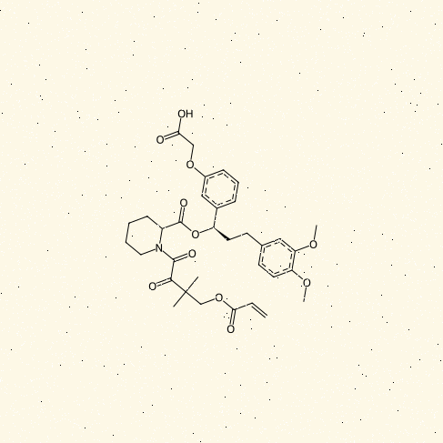 C=CC(=O)OCC(C)(C)C(=O)C(=O)N1CCCCC1C(=O)O[C@H](CCc1ccc(OC)c(OC)c1)c1cccc(OCC(=O)O)c1